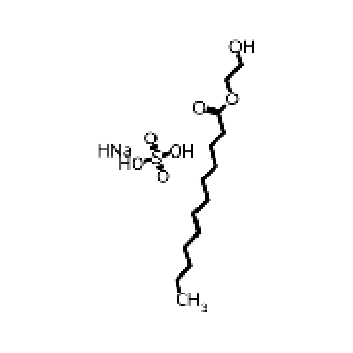 CCCCCCCCCCCC(=O)OCCO.O=S(=O)(O)O.[NaH]